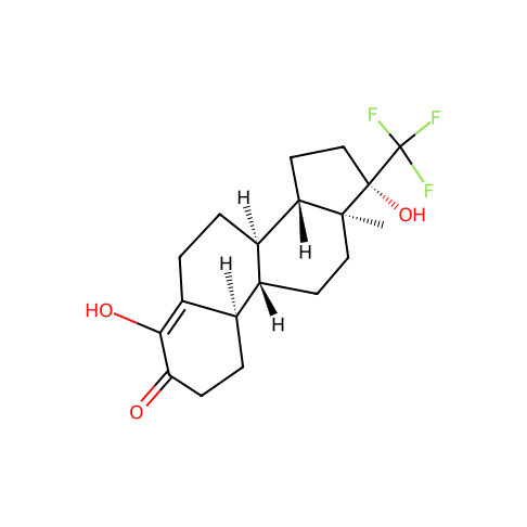 C[C@]12CC[C@H]3[C@@H](CCC4=C(O)C(=O)CC[C@@H]43)[C@@H]1CC[C@@]2(O)C(F)(F)F